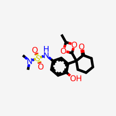 CC1OC(C2(c3cc(NS(=O)(=O)N(C)C)ccc3O)CCCCC2=O)O1